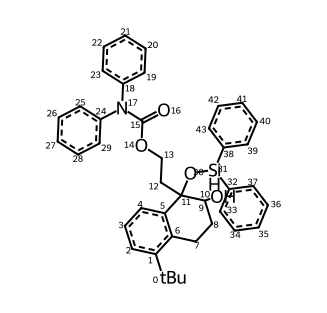 CC(C)(C)c1cccc2c1CCC(O)C2(CCOC(=O)N(c1ccccc1)c1ccccc1)O[SiH](c1ccccc1)c1ccccc1